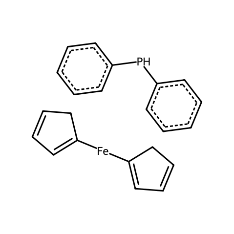 C1=CC[C]([Fe][C]2=CC=CC2)=C1.c1ccc(Pc2ccccc2)cc1